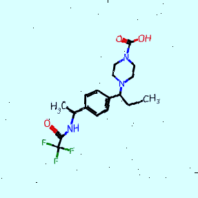 CCC(c1ccc(C(C)NC(=O)C(F)(F)F)cc1)N1CCN(C(=O)O)CC1